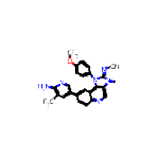 Cn1c(=NC#N)n(-c2ccc(OC(F)(F)F)cc2)c2c3cc(-c4cnc(N)c(C(F)(F)F)c4)ccc3ncc21